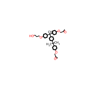 CC(C)(c1ccc(OCC2CO2)cc1)c1ccc(C(C)(c2ccc(OCCCO)cc2)c2ccc(OCC3CO3)cc2)cc1